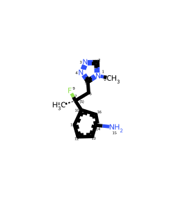 Cn1cnnc1C[C@](C)(F)c1cccc(N)c1